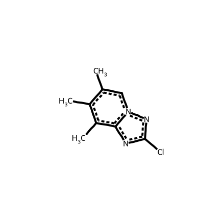 Cc1cn2nc(Cl)nc2c(C)c1C